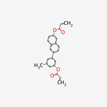 C=CC(=O)Oc1cc(C)cc(-c2ccc3cc(OC(=O)C=C)ccc3c2)c1